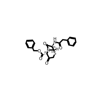 O=C(Cc1ccccc1)N[C@@H]1C(=O)N2[C@@H](C(=O)OCc3ccccc3)C(=O)CS[C@@H]12